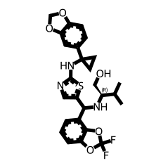 CC(C)[C@H](CO)NC(c1cnc(NC2(c3ccc4c(c3)OCO4)CC2)s1)c1cccc2c1OC(F)(F)O2